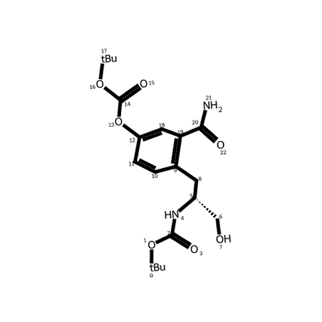 CC(C)(C)OC(=O)N[C@@H](CO)Cc1ccc(OC(=O)OC(C)(C)C)cc1C(N)=O